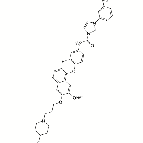 COc1cc2c(Oc3ccc(NC(=O)N4C=CN(c5cccc(C(F)(F)F)c5)C4)cc3F)ccnc2cc1OCCCN1CCC(C)CC1